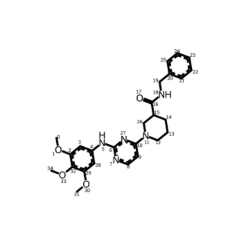 COc1cc(Nc2nccc(N3CCCC(C(=O)NCc4ccccc4)C3)n2)cc(OC)c1OC